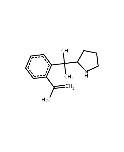 C=C(C)c1ccccc1C(C)(C)C1CCCN1